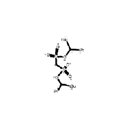 CC(C)C(OS(=O)(=O)CS(=O)(=O)OC(C(C)C)C(C)(C)C)C(C)(C)C